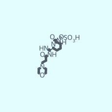 N=C(NC(=O)CCN1CCOCC1)[C@@H]1CC[C@@H]2CN1C(=O)N2OS(=O)(=O)O